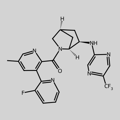 Cc1cnc(C(=O)N2C[C@H]3C[C@@H](Nc4cnc(C(F)(F)F)cn4)[C@@H]2C3)c(-c2ncccc2F)c1